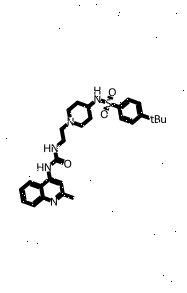 Cc1cc(NC(=O)NCCN2CCC(NS(=O)(=O)c3ccc(C(C)(C)C)cc3)CC2)c2ccccc2n1